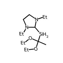 CCOC(C)(OCC)[SiH2]C1N(CC)CCN1CC